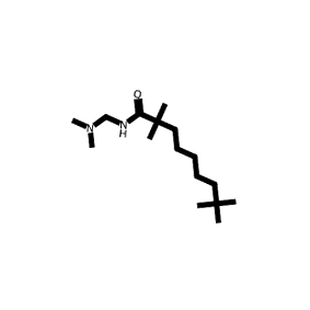 CN(C)CNC(=O)C(C)(C)CCCCCC(C)(C)C